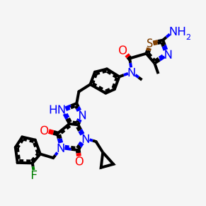 Cc1nc(N)sc1C(=O)N(C)c1ccc(Cc2nc3c([nH]2)c(=O)n(Cc2ccccc2F)c(=O)n3CC2CC2)cc1